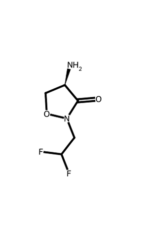 N[C@@H]1CON(CC(F)F)C1=O